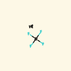 [F][Zr]([F])([F])[F].[Hf]